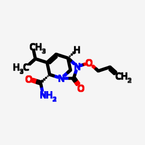 C=CCON1C(=O)N2C[C@H]1C=C(C(C)C)[C@H]2C(N)=O